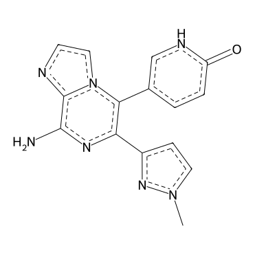 Cn1ccc(-c2nc(N)c3nccn3c2-c2ccc(=O)[nH]c2)n1